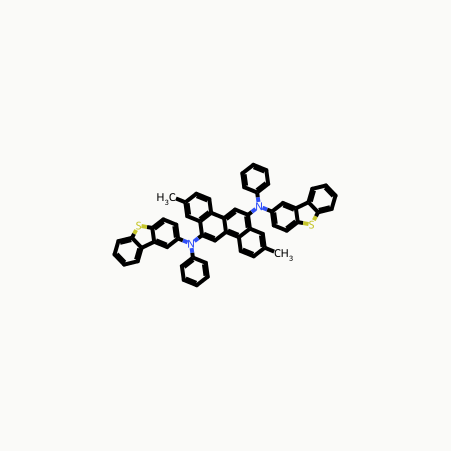 Cc1ccc2c(c1)c(N(c1ccccc1)c1ccc3sc4ccccc4c3c1)cc1c3ccc(C)cc3c(N(c3ccccc3)c3ccc4sc5ccccc5c4c3)cc21